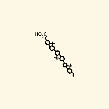 C=Cc1ccc2c(c1)C(C)(C)c1cc(-c3ccc4c(c3)C(C)(C)c3cc(-c5ccc6c(c5)C(C)(C)c5cc(CCC(=O)O)ccc5-6)ccc3-4)ccc1-2